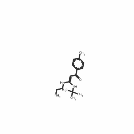 Cc1ccc(C(=O)C=C(NCCN)NC(C)(C)C)cc1